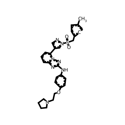 Cc1ccc(CS(=O)(=O)n2cc(-c3cccc4nc(Nc5ccc(OCCN6CCCC6)cc5)nn34)cn2)cc1